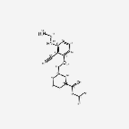 CC(C)CC(=O)N1CCCC(COc2cccc(NSN)c2C#N)C1